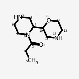 CCC(=O)N1CCNCC1C1CNCCO1